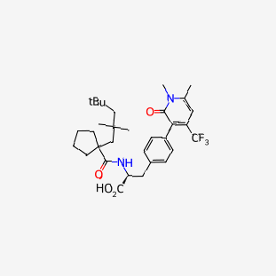 Cc1cc(C(F)(F)F)c(-c2ccc(C[C@H](NC(=O)C3(CC(C)(C)CC(C)(C)C)CCCC3)C(=O)O)cc2)c(=O)n1C